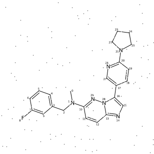 CN(Cc1cccc(F)c1)c1ccc2ncc(-c3ccc(N4CCCC4)nc3)n2n1